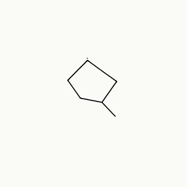 CC1C[CH]CC1